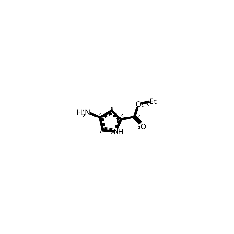 CCOC(=O)c1cc(N)c[nH]1